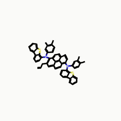 C=CCc1cc2ccc3c(N(c4ccc(C)c(C)c4)c4cccc5c4sc4ccccc45)ccc4ccc(c1N(c1ccc(C)c(C)c1)c1cccc5c1sc1ccccc15)c2c43